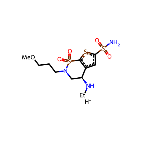 CCN[C@H]1CN(CCCOC)S(=O)(=O)c2sc(S(N)(=O)=O)cc21.[H+]